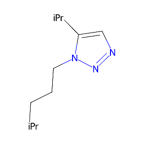 CC(C)CCCn1nncc1C(C)C